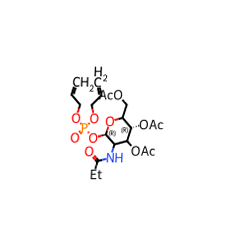 C=CCOP(=O)(OCC=C)O[C@H]1OC(COC(C)=O)[C@H](OC(C)=O)C(OC(C)=O)C1NC(=O)CC